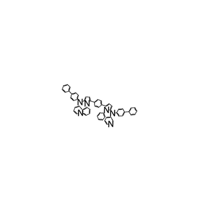 c1ccc(-c2ccc(N(c3cccnc3)c3ccc(-c4ccc(-c5ccc(N(c6ccc(-c7ccccc7)cc6)c6cccnc6)n5-c5ccccc5)cc4)n3-c3ccccc3)cc2)cc1